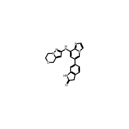 O=C1Cc2ccc(-c3cc(Nc4cc5n(n4)CCOC5)c4nccn4c3)cc2N1